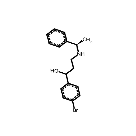 C[C@@H](NCCC(O)c1ccc(Br)cc1)c1ccccc1